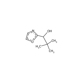 CC(C)(C)C(O)c1ncco1